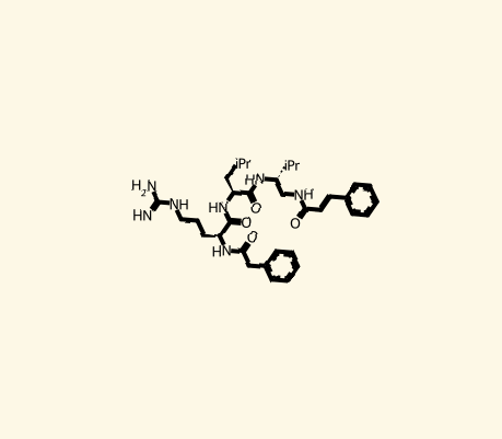 CC(C)C[C@H](NC(=O)[C@H](CCCNC(=N)N)NC(=O)Cc1ccccc1)C(=O)N[C@@H](CNC(=O)/C=C/c1ccccc1)C(C)C